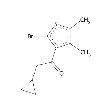 Cc1sc(Br)c(C(=O)CC2CC2)c1C